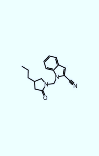 CCCC1CC(=O)N(Cn2c(C#N)cc3ccccc32)C1